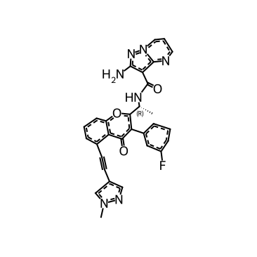 C[C@@H](NC(=O)c1c(N)nn2cccnc12)c1oc2cccc(C#Cc3cnn(C)c3)c2c(=O)c1-c1cccc(F)c1